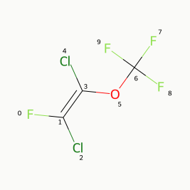 F/C(Cl)=C(\Cl)OC(F)(F)F